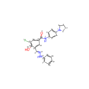 O=C(Nc1ccc(N2CCCC2)cc1)c1cc(F)c(O)c(C=NNc2ccccc2)c1